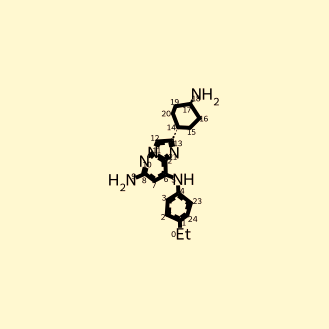 CCc1ccc(Nc2cc(N)nn3cc([C@H]4CC[C@H](N)CC4)nc23)cc1